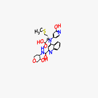 CSCC[C@@H](C(=O)O)N(c1ccnc(O)c1)c1cc(C(=O)NC2CCOCC2O)nc2ccccc12